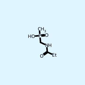 CCC(=O)NCP(C)(=O)O